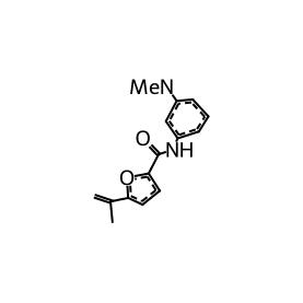 C=C(C)c1ccc(C(=O)Nc2cccc(NC)c2)o1